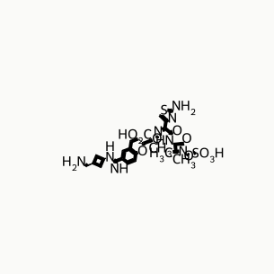 CC1(C)[C@H](NC(=O)/C(=N\O[C@](C)(C(=O)O)[C@H]2CCc3cc(C(=N)N[C@H]4C[C@H](CN)C4)ccc3O2)c2csc(N)n2)C(=O)N1OS(=O)(=O)O